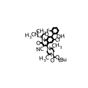 C[C@@H]1CN(c2c(C#N)c(=O)n3c4c(c(-c5c(O)cccc5F)c(Cl)cc24)OC[C@H]3CN(C)C)[C@@H](C)CN1C(=O)OC(C)(C)C